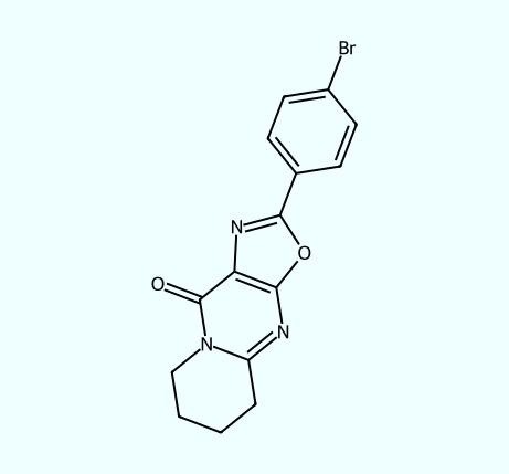 O=c1c2nc(-c3ccc(Br)cc3)oc2nc2n1CCCC2